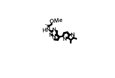 COC[C@@H](C)Nc1ncc2c(-c3ccc4c(n3)C(C)C(C)=N4)ccn2n1